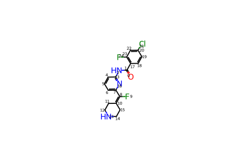 O=C(Nc1cccc(C(F)=C2CCNCC2)n1)c1ccc(Cl)cc1F